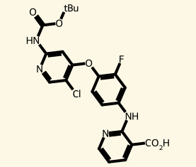 CC(C)(C)OC(=O)Nc1cc(Oc2ccc(Nc3ncccc3C(=O)O)cc2F)c(Cl)cn1